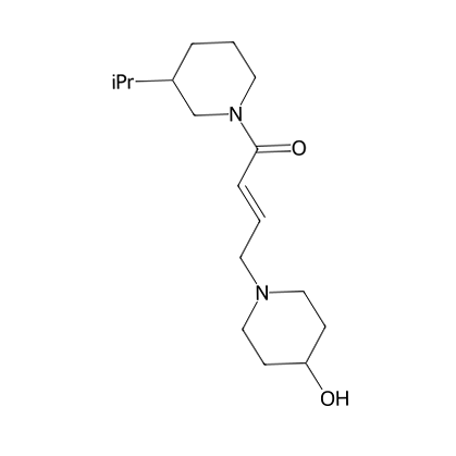 CC(C)C1CCCN(C(=O)/C=C/CN2CCC(O)CC2)C1